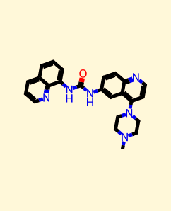 CN1CCN(c2ccnc3ccc(NC(=O)Nc4cccc5cccnc45)cc23)CC1